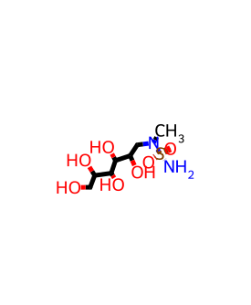 CN(CC(O)C(O)C(O)C(O)CO)S(N)(=O)=O